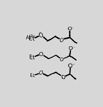 CCOCCOC(C)[O-].CCOCCOC(C)[O-].CCOCCOC(C)[O-].[Al+3]